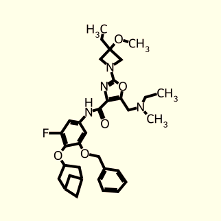 CCN(C)Cc1oc(N2CC(CC)(OC)C2)nc1C(=O)Nc1cc(F)c(OC2CC3CC(C3)C2)c(OCc2ccccc2)c1